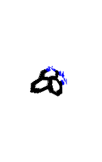 c1cc2nnc3ncc4cccc(c1)c4c3-2